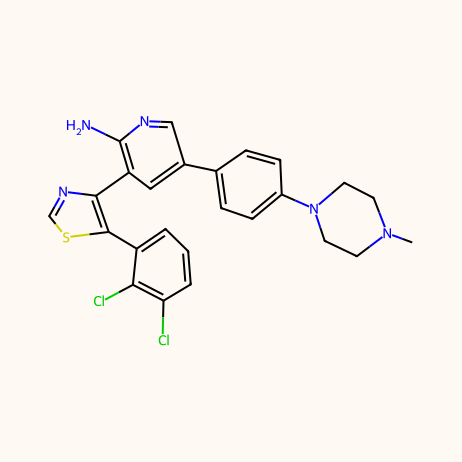 CN1CCN(c2ccc(-c3cnc(N)c(-c4ncsc4-c4cccc(Cl)c4Cl)c3)cc2)CC1